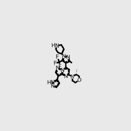 Cc1nn(C2CCNCC2)c(C(F)(F)F)c1-c1cc(N2CCOC[C@H]2C)nc2c(-c3ccn[nH]3)cnn12